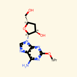 CCCOc1nc(N)c2ncn([C@@H]3O[C@H](CO)C[C@H]3O)c2n1